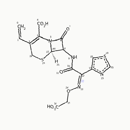 C=CC1=C(C(=O)O)N2C(=O)C(NC(=O)/C(=N\OCC(=O)O)c3cscn3)[C@H]2SC1